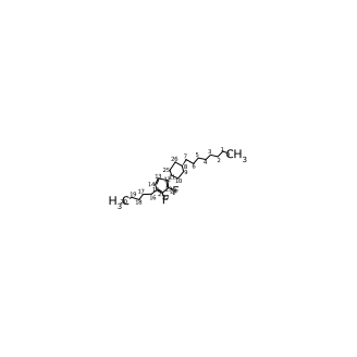 CCCCCCCC[C@H]1CC[C@H](c2ccc(CCCCC)c(F)c2F)CC1